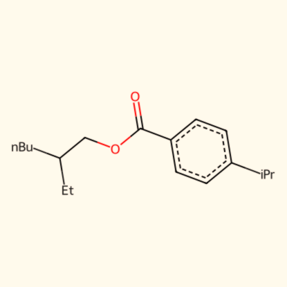 CCCCC(CC)COC(=O)c1ccc(C(C)C)cc1